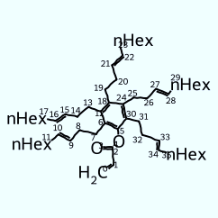 C=CC(=O)Oc1c(CC/C=C/CCCCCC)c(CC/C=C/CCCCCC)c(CC/C=C/CCCCCC)c(CC/C=C/CCCCCC)c1CC/C=C/CCCCCC